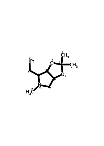 CC(C)CC1C2OC(C)(C)OC2CN1C